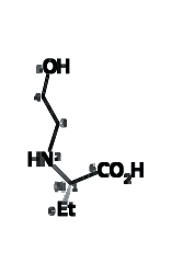 CC[C@H](NCCO)C(=O)O